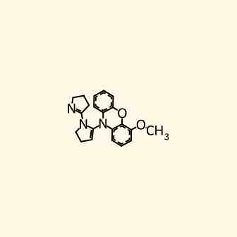 COc1cccc2c1Oc1ccccc1N2C1=CCCN1C1=NCCC1